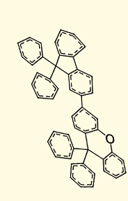 c1ccc(C2(c3ccccc3)c3ccccc3Oc3cc(-c4ccc5c(c4)C(c4ccccc4)(c4ccccc4)c4ccccc4-5)ccc32)cc1